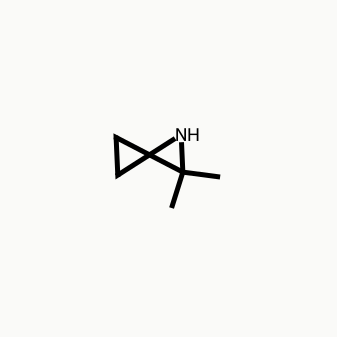 CC1(C)NC12CC2